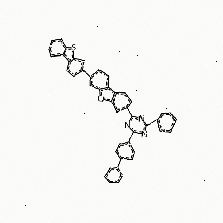 c1ccc(-c2ccc(-c3nc(-c4ccccc4)nc(-c4ccc5c(c4)oc4cc(-c6ccc7c(c6)sc6ccccc67)ccc45)n3)cc2)cc1